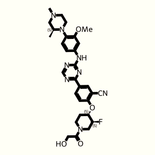 COc1cc(Nc2ncnc(-c3ccc(O[C@H]4CCN(C(=O)CO)C[C@@H]4F)c(C#N)c3)n2)ccc1N1CCN(C)C[C@@H]1C